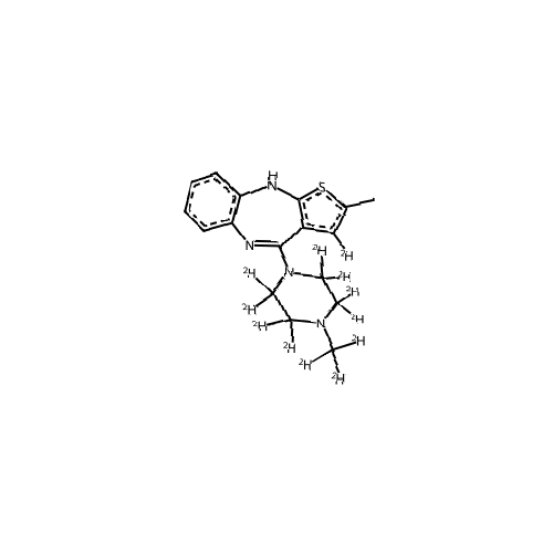 [2H]c1c(C)sc2c1C(N1C([2H])([2H])C([2H])([2H])N(C([2H])([2H])[2H])C([2H])([2H])C1([2H])[2H])=Nc1ccccc1N2